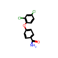 NC(=O)c1ccc(Oc2ccc(Cl)cc2Cl)cc1